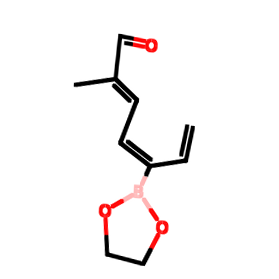 C=C/C(=C\C=C(/C)C=O)B1OCCO1